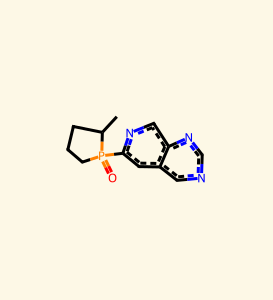 CC1CCCP1(=O)c1cc2cncnc2cn1